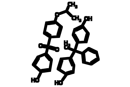 CC(C)Oc1ccc(S(=O)(=O)c2ccc(O)cc2)cc1.CC(c1ccccc1)(c1ccc(O)cc1)c1ccc(O)cc1